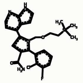 C[Si](C)(C)CCOCn1c(-c2ccnc3[nH]ccc23)cc(C(N)=O)c1-c1cccc(F)c1Cl